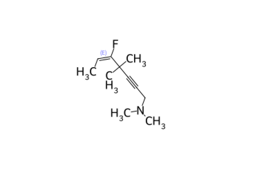 C/C=C(/F)C(C)(C)C#CCN(C)C